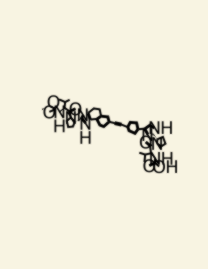 COC(=O)N[C@H](C(=O)N1CCC[C@H]1c1nc2c([nH]1)-c1ccc(C#Cc3ccc(-c4c[nH]c([C@@H]5CCCN5C(=O)[C@@H](NC(=O)O)C(C)C)n4)cc3)cc1CC2)C(C)C